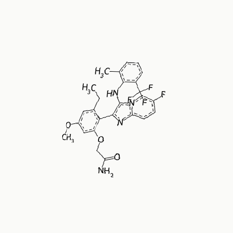 CCc1cc(OC)cc(OCC(N)=O)c1-c1nc2ccc(F)cn2c1Nc1c(C)cccc1C(F)(F)F